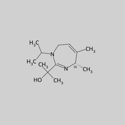 CC1=CCN(C(C)C)C(C(C)(C)O)=N[C@H]1C